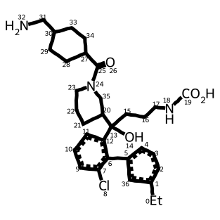 CCc1cccc(-c2c(Cl)cccc2C(O)(CCCNC(=O)O)C2CCCN(C(=O)C3CCC(CN)CC3)C2)c1